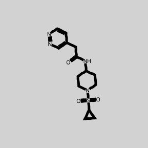 O=C(Cc1ccnnc1)NC1CCN(S(=O)(=O)C2CC2)CC1